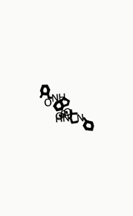 Cc1ccccc1C(=O)Nc1ccc(S(=O)(=O)NC2CCN(Cc3ccccc3)CC2C)c2c1CCC2